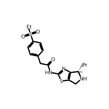 CCS(=O)(=O)c1ccc(CC(=O)Nc2nc3c(s2)CN[C@H]3C(C)C)cc1